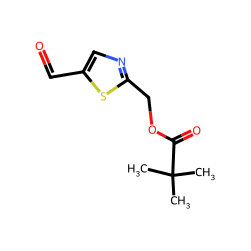 CC(C)(C)C(=O)OCc1ncc(C=O)s1